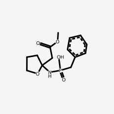 COC(=O)CC1(NP(=O)(O)Cc2ccccc2)CCCO1